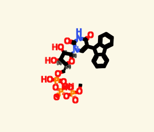 COP(=O)(O)OP(=O)(O)OP(=O)(O)OC[C@H]1O[C@@H](n2cc(C3c4ccccc4-c4ccccc43)c(=O)[nH]c2=O)[C@H](O)[C@@H]1O